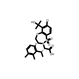 Cc1ccc(F)c(C(C)[C@@H](C(=O)O)N2CCOc3c(ccc(Cl)c3C(C)(C)O)S2(=O)=O)c1C